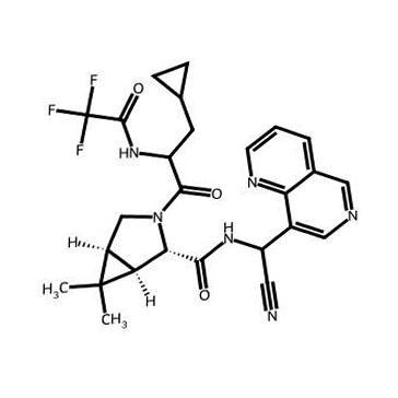 CC1(C)[C@@H]2[C@@H](C(=O)NC(C#N)c3cncc4cccnc34)N(C(=O)C(CC3CC3)NC(=O)C(F)(F)F)C[C@@H]21